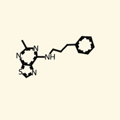 Cc1nc(NCCCc2ccccc2)c2ncsc2n1